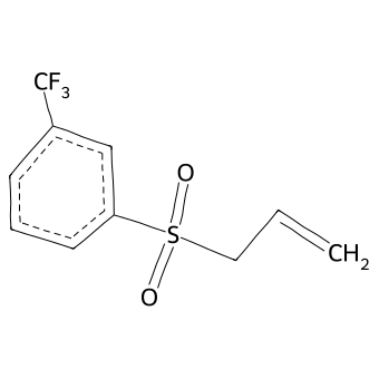 C=CCS(=O)(=O)c1cccc(C(F)(F)F)c1